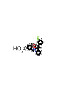 CC(C)C1(c2cccc(F)c2)CC12C(=O)N(Cc1cccc(C(=O)O)c1)c1ccccc12